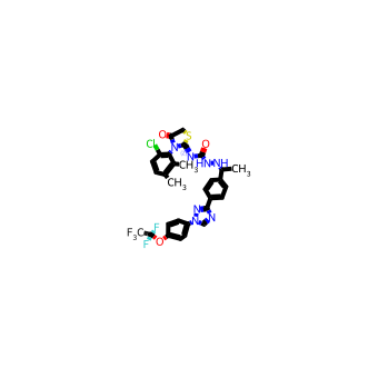 Cc1ccc(Cl)c(N2C(=O)CS/C2=N\C(=O)NNC(C)c2ccc(-c3ncn(-c4ccc(OC(F)(F)C(F)(F)F)cc4)n3)cc2)c1C